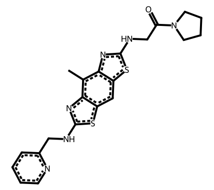 Cc1c2nc(NCC(=O)N3CCCC3)sc2cc2sc(NCc3ccccn3)nc12